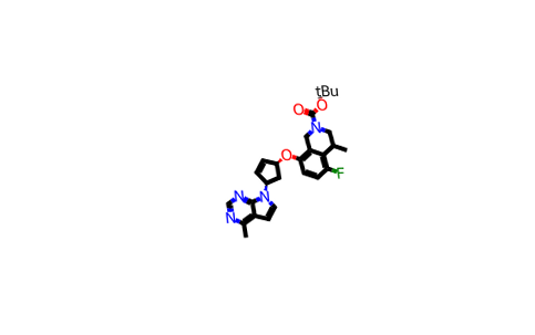 Cc1ncnc2c1ccn2[C@H]1C=C[C@@H](Oc2ccc(F)c3c2CN(C(=O)OC(C)(C)C)CC3C)C1